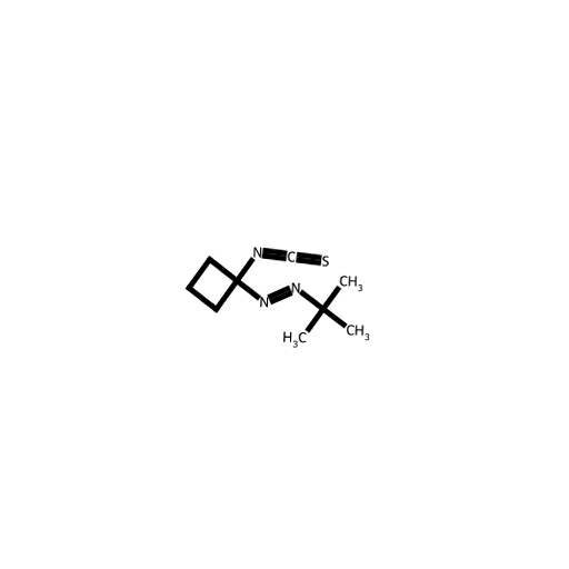 CC(C)(C)/N=N/C1(N=C=S)CCC1